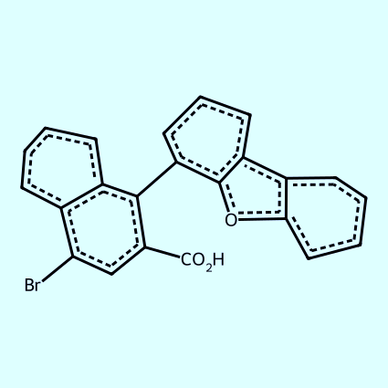 O=C(O)c1cc(Br)c2ccccc2c1-c1cccc2c1oc1ccccc12